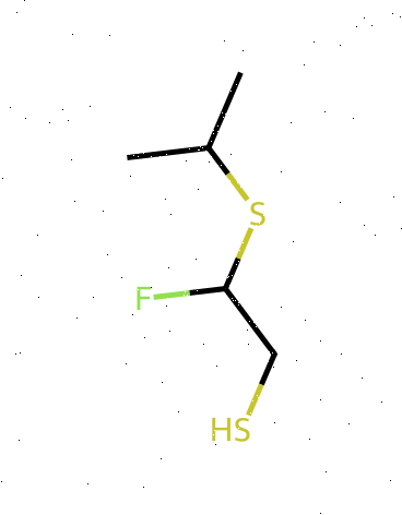 CC(C)SC(F)CS